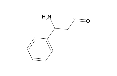 NC(C[C]=O)c1ccccc1